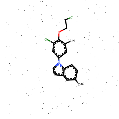 N#Cc1cc(-n2ccc3cc(C=O)ccc32)cc(Cl)c1OCCCl